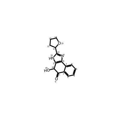 O=C1c2ccccc2-c2nc(C3CCCO3)[nH]c2C1O